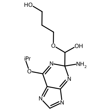 CC(C)OC1=NC(N)(C(O)OCCCO)N=C2N=CN=C21